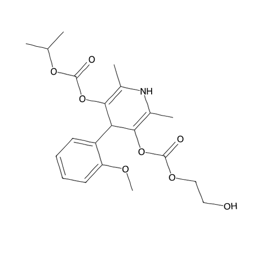 COc1ccccc1C1C(OC(=O)OCCO)=C(C)NC(C)=C1OC(=O)OC(C)C